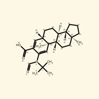 CC(C)(C)N(C=O)C1=C[C@@]2(C)[C@H](C=C1C(=O)O)CC[C@H]1[C@@H]3CCC[C@@]3(C)CC[C@@H]12